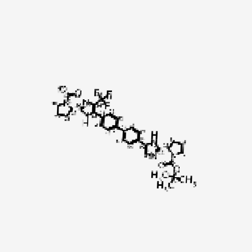 CC(C)(C)OC(=O)N1CCC[C@H]1c1ncc(-c2ccc(-c3ccc(-c4[nH]c([C@@H]5CCCN5C(=O)O)nc4C(F)(F)F)cc3)cc2)[nH]1